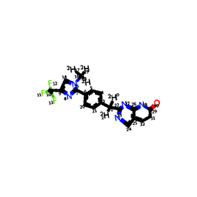 [2H]C([2H])(c1ccc(-c2nc(C(F)(F)F)cn2C([2H])([2H])[2H])cc1)c1ncc2c(n1)=NC(=O)CC=2